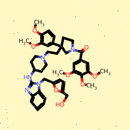 COc1ccc(C2(CCN3CCC(Nc4nc5ccccc5n4Cc4ccc(CO)o4)CC3)CCN(C(=O)c3cc(OC)c(OC)c(OC)c3)C2)cc1OC